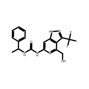 CC(NC(=O)Nc1cc2[nH]nc(C(F)(F)F)c2c(CO)n1)c1ccccc1